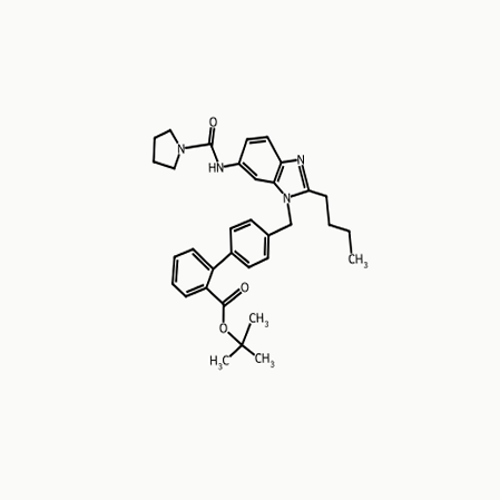 CCCCc1nc2ccc(NC(=O)N3CCCC3)cc2n1Cc1ccc(-c2ccccc2C(=O)OC(C)(C)C)cc1